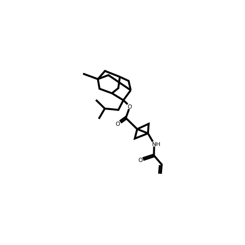 C=CC(=O)NC12CC1(C(=O)OC1(CC(C)C)C3CC4CC1CC(C)(C4)C3)C2